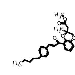 CCCCCc1ccc(C=CC(=O)c2cccc3c2OC(N)(CC(=O)OC)CO3)cc1